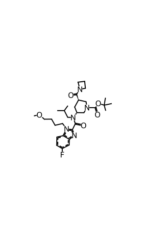 COCCCCn1c(C(=O)N(CC(C)C)[C@H]2C[C@@H](C(=O)N3CCC3)CN(C(=O)OC(C)(C)C)C2)nc2cc(F)ccc21